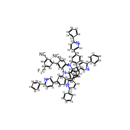 N#Cc1cc(-c2cc(-n3c4cc(-c5ccc(-c6ccccc6)nc5)ccc4c4ccc(-c5ccc(-c6ccccc6)nc5)cc43)c(-n3c4cc(-c5ccc(-c6ccccc6)nc5)ccc4c4ccc(-c5ccc(-c6ccccc6)nc5)cc43)cc2C#N)cc(C(F)(F)F)c1